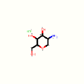 Cl.NC1COC(CO)C(O)C1O